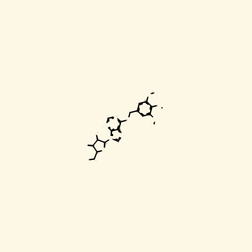 COc1cc(CNc2ncnc3c2ncn3C2OC(CO)C(O)C2O)cc(OC)c1OC